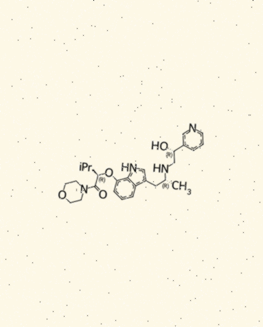 CC(C)[C@@H](Oc1cccc2c(C[C@@H](C)NC[C@H](O)c3cccnc3)c[nH]c12)C(=O)N1CCOCC1